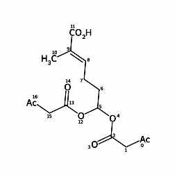 CC(=O)CC(=O)OC(CCC=C(C)C(=O)O)OC(=O)CC(C)=O